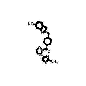 Cc1nc([C@@H]2CCON2C(=O)[C@H]2CC[C@H](Cn3cc4ccc(C#N)cc4n3)CC2)cs1